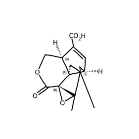 CC1(C)C[C@H]2C=C(C(=O)O)[C@@H]3COC(=O)[C@]4(CO4)[C@]23C1